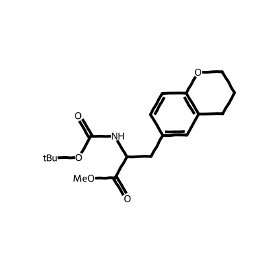 COC(=O)C(Cc1ccc2c(c1)CCCO2)NC(=O)OC(C)(C)C